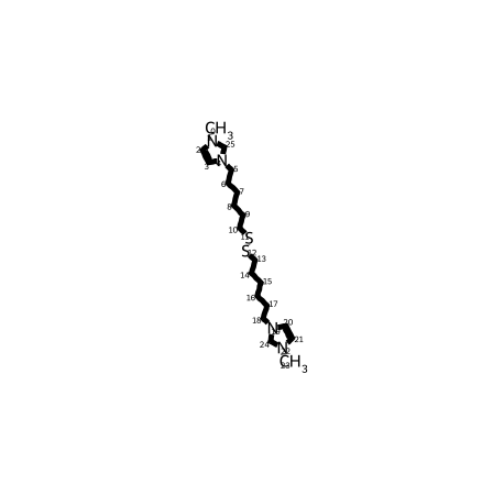 CN1C=CN(CCCCCCSSCCCCCCN2C=CN(C)C2)C1